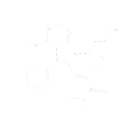 Cc1ccc(-c2c(/C=C(\C#N)C(=N)N(C)C)n(CCCO)c3ncnc(N)c23)cc1